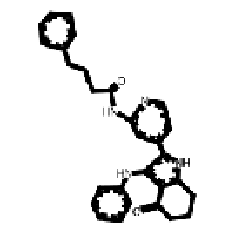 O=C(CCCc1ccccc1)Nc1cc(-c2[nH]c3c(c2Nc2ccccc2)C(=O)CCC3)ccn1